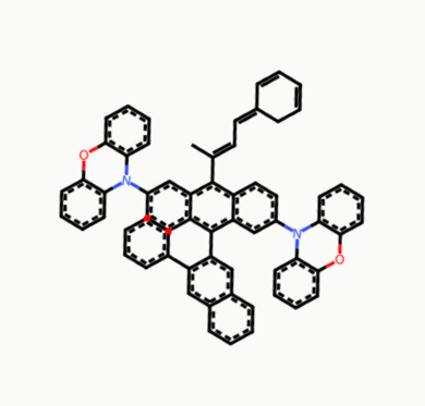 C/C(=C\C=C1\C=CC=CC1)c1c2cc(N3c4ccccc4Oc4ccccc43)ccc2c(-c2cc3ccccc3cc2-c2ccccc2)c2cc(N3c4ccccc4Oc4ccccc43)ccc12